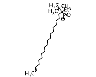 CC=CCCCCCCCCCCCCCCCCC(CC)(P(=O)=O)[N+](C)(C)C